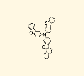 c1ccc2c(c1)ccc1c3ccc(N(c4ccc5c(c4)sc4ccccc45)c4ccc5oc6ccccc6c5c4)cc3oc21